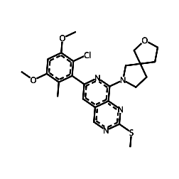 COc1cc(OC)c(Cl)c(-c2cc3cnc(SC)nc3c(N3CCC4(CCOC4)C3)n2)c1C